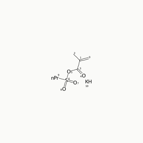 C=C(C)C(=O)OS(=O)(=O)CCC.[KH]